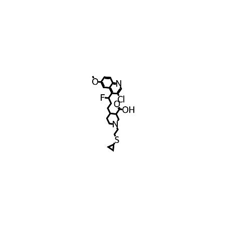 COc1ccc2ncc(Cl)c(C(F)CCC3CCN(CCSC4CC4)CC3C(=O)O)c2c1